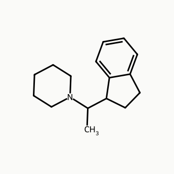 CC(C1CCc2ccccc21)N1CCCCC1